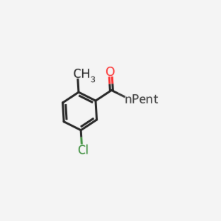 CCCCCC(=O)c1cc(Cl)ccc1C